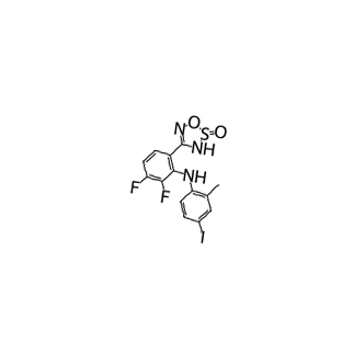 Cc1cc(I)ccc1Nc1c(C2=NOS(=O)N2)ccc(F)c1F